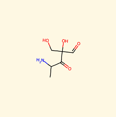 CC(N)C(=O)C(O)(C=O)CO